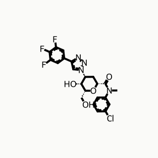 CN(C(=O)[C@H]1C[C@@H](n2cc(-c3cc(F)c(F)c(F)c3)nn2)[C@@H](O)[C@@H](CO)O1)c1cccc(Cl)c1